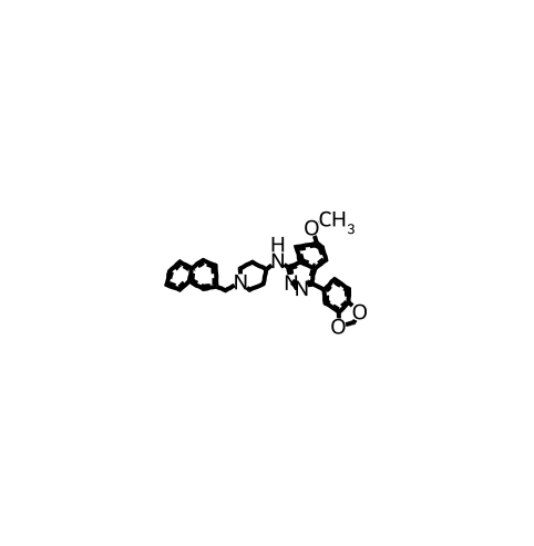 COc1ccc2c(-c3ccc4c(c3)OCO4)nnc(NC3CCN(Cc4ccc5ccccc5c4)CC3)c2c1